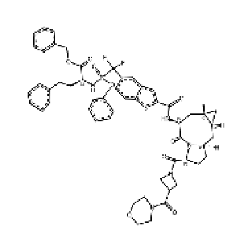 O=C(N[C@H]1C[C@@H]2C[C@@H]2C[C@H]2CC[C@@H](C(=O)N3CC(C(=O)N4CCOCC4)C3)N2C1=O)c1cc2cc(C(F)(F)P(=O)(N[C@@H](CCc3ccccc3)C(=O)OCc3ccccc3)Oc3ccccc3)ccc2s1